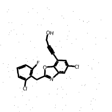 OCC#Cc1cc(Cl)cc2nc(Cc3c(F)cccc3Cl)oc12